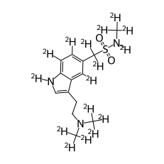 [2H]c1c(C([2H])([2H])S(=O)(=O)N([2H])C([2H])([2H])[2H])c([2H])c2c(CCN(C([2H])([2H])[2H])C([2H])([2H])[2H])cn([2H])c2c1[2H]